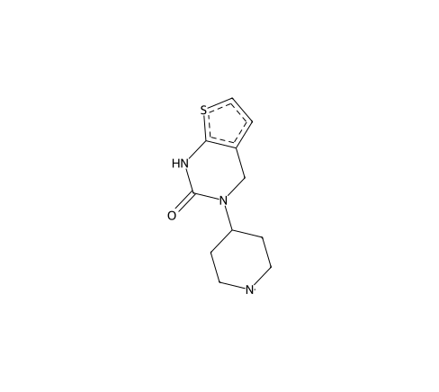 O=C1Nc2sccc2CN1C1CC[N]CC1